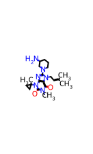 CC(C)=CCn1c(N2CCCC(N)C2)nc2c1c(=O)n(C)c(=O)n2C1(C)CC1